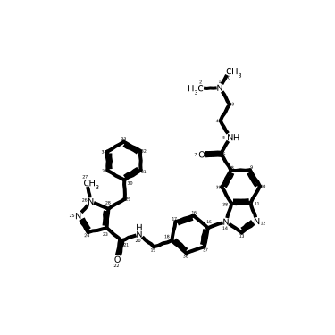 CN(C)CCNC(=O)c1ccc2ncn(-c3ccc(CNC(=O)c4cnn(C)c4Cc4ccccc4)cc3)c2c1